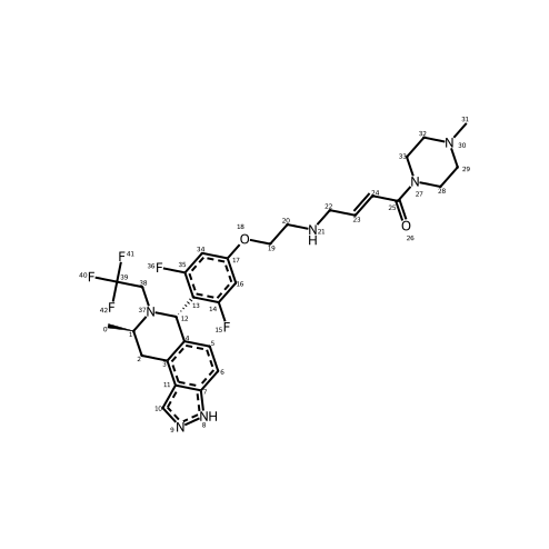 C[C@@H]1Cc2c(ccc3[nH]ncc23)[C@@H](c2c(F)cc(OCCNC/C=C/C(=O)N3CCN(C)CC3)cc2F)N1CC(F)(F)F